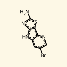 Nc1nc2[nH]c3cc(Br)cnc3c2s1